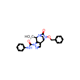 O=C(O)C1c2c(cnn2C(=O)Nc2ccccc2)C2CN1C(=O)N2OCc1ccccc1